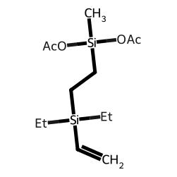 C=C[Si](CC)(CC)CC[Si](C)(OC(C)=O)OC(C)=O